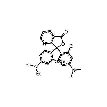 CCN(CC)c1ccc(C2(c3ccc(N(C)C)cc3Cl)OC(=O)c3cccnc32)c(OC)c1